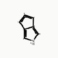 C1=Cc2c[nH]cc2C=1